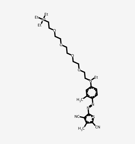 CCN(CCOCCOCCOCCOCC[N+](CC)(CC)CC)c1ccc(/N=N/c2sc(C#N)c(C)c2C#N)c(C)c1